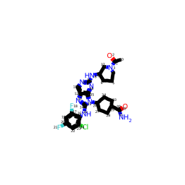 CC(=O)N1CCCC(Nc2ncc3nc(Nc4c(F)cc(F)cc4Cl)n(C4CCC(C(N)=O)CC4)c3n2)C1